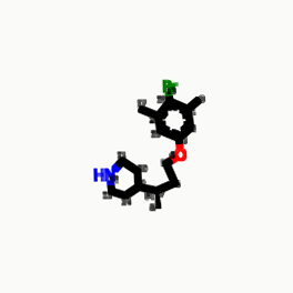 Cc1cc(OCC[C@@H](C)C2CCNCC2)cc(C)c1Br